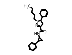 CCCCCN1N=C(C(=O)NC2CC2c2ccccc2)CC1C1C=CC=CC1